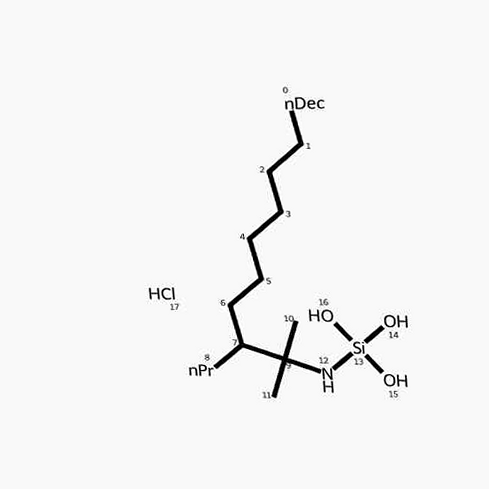 CCCCCCCCCCCCCCCCC(CCC)C(C)(C)N[Si](O)(O)O.Cl